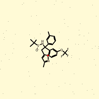 Cc1cccc(C(Cc2cc(C)no2)(N[S@+]([O-])C(C)(C)C)c2cccc(OC(F)(F)F)c2)c1